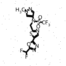 Cn1cc(N(Cc2ncc(-c3nnc(C(F)F)o3)s2)S(=O)(=O)C(F)(F)F)cn1